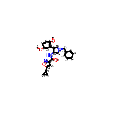 COc1ccc(OC)c(C2CN(Cc3ccccc3)CC2NC(=O)c2cc(C3CC3)on2)c1